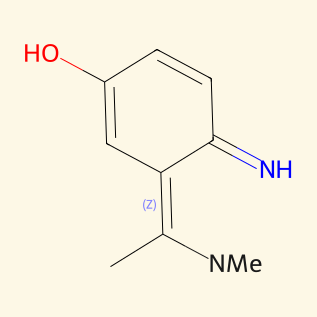 CN/C(C)=C1/C=C(O)C=CC1=N